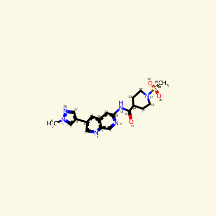 Cn1cc(-c2cnc3cnc(NC(=O)C4CCN(S(C)(=O)=O)CC4)cc3c2)cn1